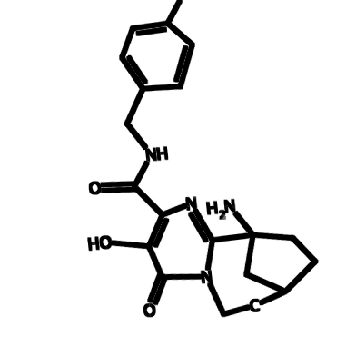 NC12CCC(CCn3c1nc(C(=O)NCc1ccc(F)cc1)c(O)c3=O)C2